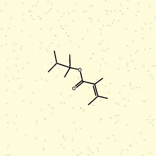 CC(C)=C(C)C(=O)OC(C)(C)C(C)C